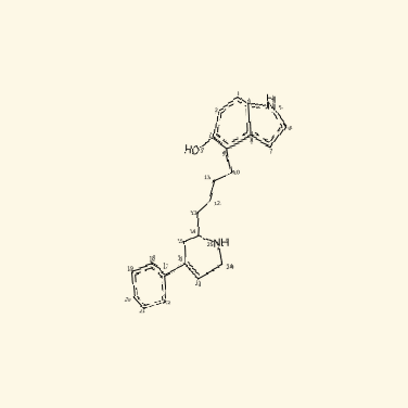 Oc1ccc2[nH]ccc2c1CCCCC1CC(c2ccccc2)=CCN1